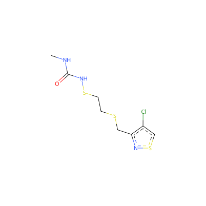 CNC(=O)NSCCSCc1nscc1Cl